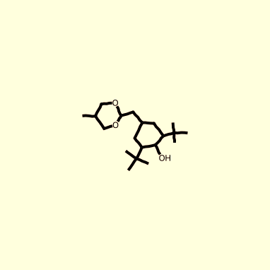 CC1COC(CC2CC(C(C)(C)C)C(O)C(C(C)(C)C)C2)OC1